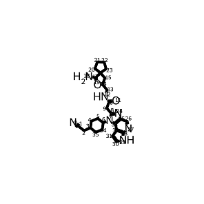 N#CCC1CCC(n2c(CC(=O)NCCCC3(C(N)=O)CCCC3)nc3cnc4[nH]ccc4c32)CC1